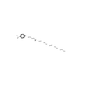 CCCCOCCOCCOCCOCCOC(=O)CCCCOc1ccc(N(C)C)cc1